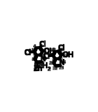 Oc1c(Cl)cc(Cl)c2cccnc12.Oc1c(Cl)cc(Cl)c2cccnc12.[BeH2].[Zn]